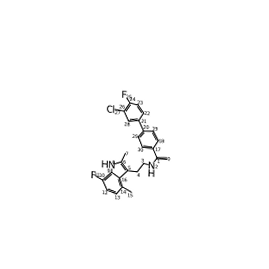 C=C(NCCc1c(C)[nH]c2c(F)ccc(C)c12)c1ccc(-c2ccc(F)c(Cl)c2)cc1